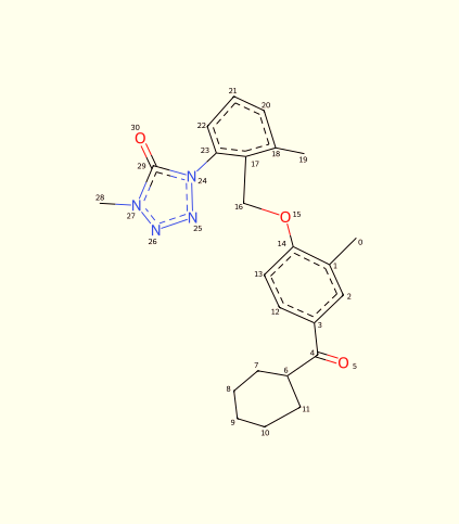 Cc1cc(C(=O)C2CCCCC2)ccc1OCc1c(C)cccc1-n1nnn(C)c1=O